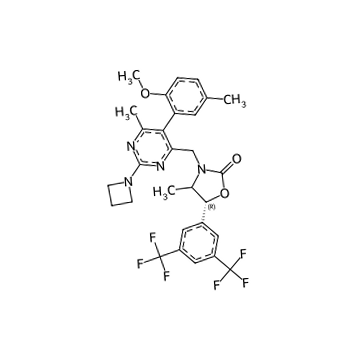 COc1ccc(C)cc1-c1c(C)nc(N2CCC2)nc1CN1C(=O)O[C@H](c2cc(C(F)(F)F)cc(C(F)(F)F)c2)C1C